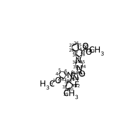 CCOc1cccc(-n2cc(C(=O)N3CCN(c4cc(C(=O)OC)c5ccccc5c4)CC3)nc2-c2ccc(C)cc2F)c1